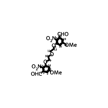 COc1cc(C=O)c([N+](=O)[O-])c(OCCOCCOc2cc(OC)cc(C=O)c2[N+](=O)[O-])c1